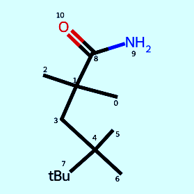 CC(C)(CC(C)(C)C(C)(C)C)C(N)=O